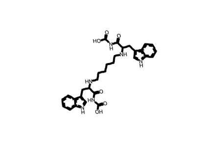 O=C(O)NC(=O)C(Cc1c[nH]c2ccccc12)NCCCCCCNC(Cc1c[nH]c2ccccc12)C(=O)NC(=O)O